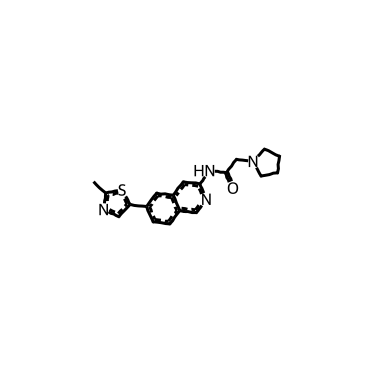 Cc1ncc(-c2ccc3cnc(NC(=O)CN4CCCC4)cc3c2)s1